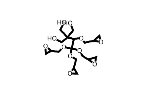 OCC(CO)(CO)C(OCC1CO1)C(OCC1CO1)(OCC1CO1)OCC1CO1